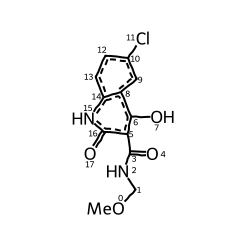 COCNC(=O)c1c(O)c2cc(Cl)ccc2[nH]c1=O